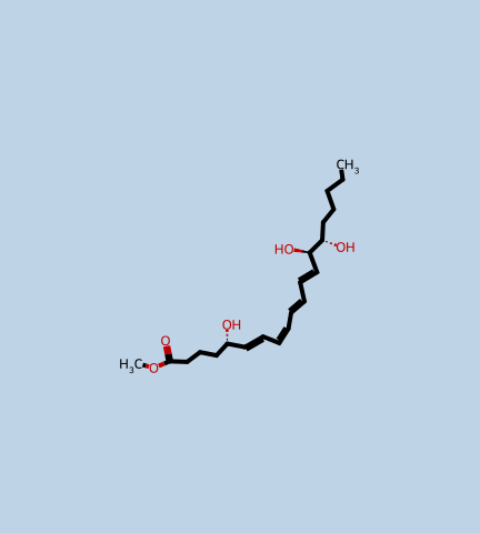 CCCCC[C@H](O)[C@H](O)/C=C/C=C/C=C\C=C\[C@@H](O)CCCC(=O)OC